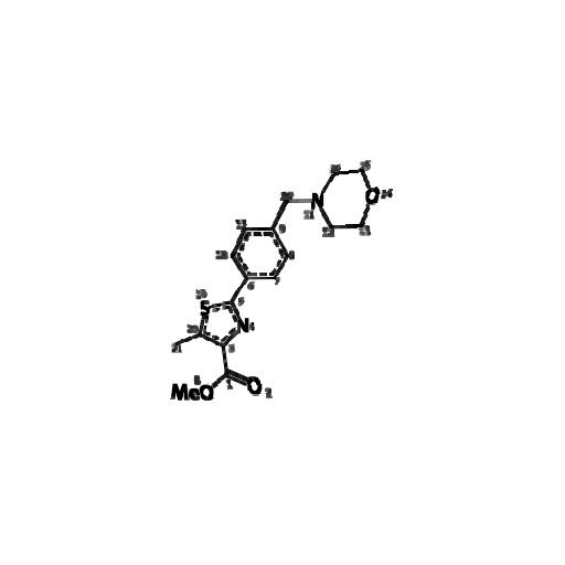 COC(=O)c1nc(-c2ccc(CN3CCOCC3)cc2)sc1C